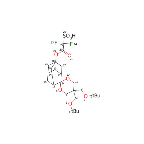 CC(C)(C)OCC1(COC(C)(C)C)COC2(OC1)C1CC3CC2CC(OC(=O)C(F)(F)S(=O)(=O)O)(C3)C1